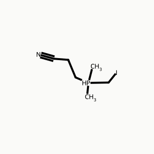 C[PH](C)(CI)CCC#N